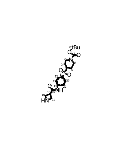 CC(C)(C)OC(=O)N1CCC(S(=O)(=O)c2ccc(NC(=O)C3CNC3)cc2)CC1